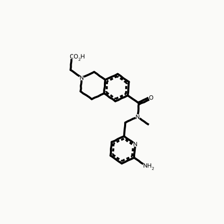 CN(Cc1cccc(N)n1)C(=O)c1ccc2c(c1)CCN(CC(=O)O)C2